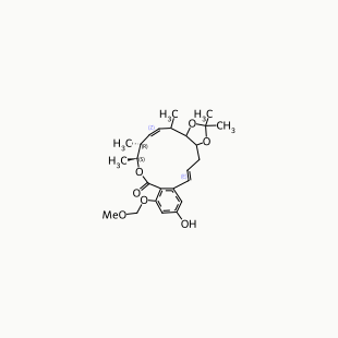 COCOc1cc(O)cc2c1C(=O)O[C@@H](C)[C@H](C)/C=C\C(C)C1OC(C)(C)OC1C/C=C/2